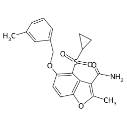 Cc1cccc(COc2ccc3oc(C)c(C(N)=O)c3c2S(=O)(=O)C2CC2)c1